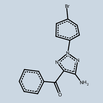 Nc1nn(-c2ccc(Br)cc2)nc1C(=O)c1ccccc1